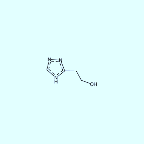 OCCc1nnc[nH]1